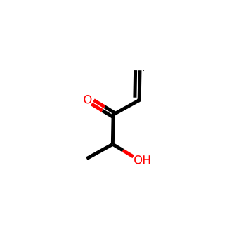 [CH]=CC(=O)C(C)O